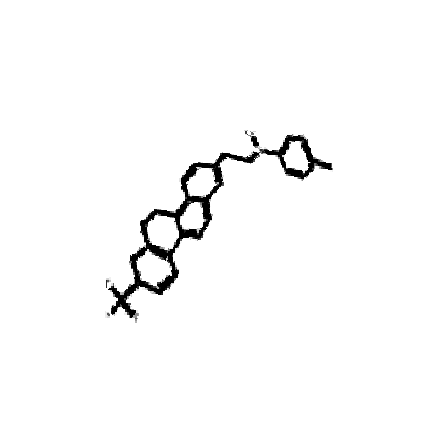 Cc1ccc([S+]([O-])CCc2ccc3c4c(ccc3c2)C2=C(CC4)CC(C(F)(F)F)C=C2)cc1